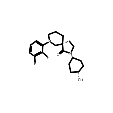 O=C1N([C@H]2CC[C@@H](O)CC2)CC[C@]12CCCN(c1cccc(F)c1F)C2